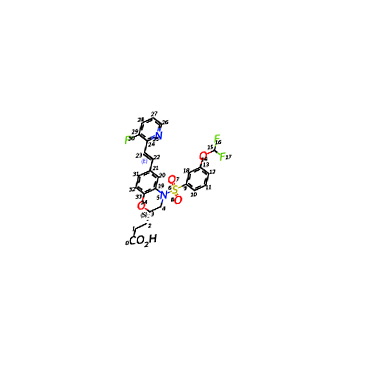 O=C(O)CC[C@H]1CN(S(=O)(=O)c2cccc(OC(F)F)c2)c2cc(/C=C/c3ncccc3F)ccc2O1